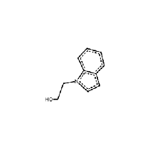 OCCn1[c]cc2ccccc21